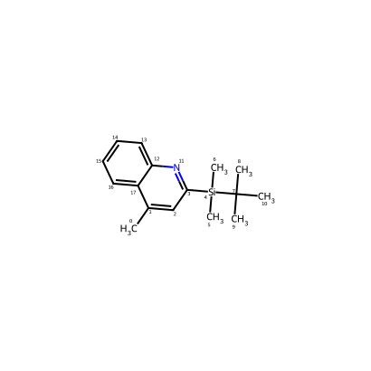 Cc1cc([Si](C)(C)C(C)(C)C)nc2ccccc12